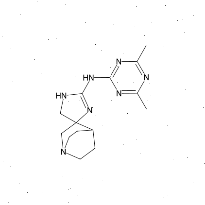 Cc1nc(C)nc(NC2=NC3(CN2)CN2CCC3CC2)n1